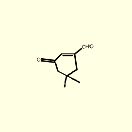 CC1(C)CC(=O)C=C(C=O)C1